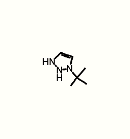 CC(C)(C)N1C=CNN1